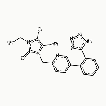 CCCc1c(Cl)n(CC(C)C)c(=O)n1Cc1ccc(-c2ccccc2-c2nnn[nH]2)cn1